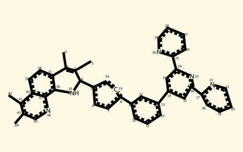 CC1=C(C)C(c2ccc(-c3cccc(-c4cc(-c5ccccn5)nc(-c5ccccn5)c4)c3)cc2)Nc2c1ccc1c(C)c(C)cnc21